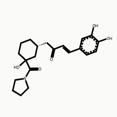 O=C(/C=C/c1ccc(O)c(O)c1)C[C@H]1CCCC(O)(C(=O)N2CCCC2)C1